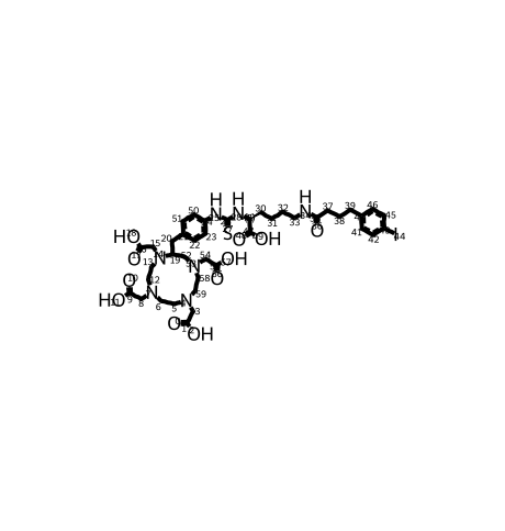 O=C(O)CN1CCN(CC(=O)O)CCN(CC(=O)O)C(Cc2ccc(NC(=S)N[C@@H](CCCCNC(=O)CCCc3ccc(I)cc3)C(=O)O)cc2)CN(CC(=O)O)CC1